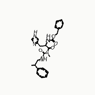 CC(CNC(=O)N(C)C(=O)C(Cc1c[nH]cn1)NC(=O)OCc1ccccc1)c1ccccc1